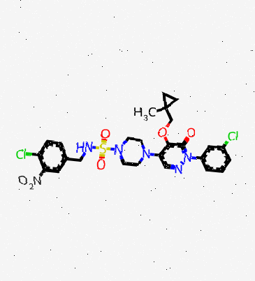 CC1(COc2c(N3CCN(S(=O)(=O)NCc4ccc(Cl)c([N+](=O)[O-])c4)CC3)cnn(-c3cccc(Cl)c3)c2=O)CC1